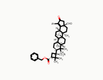 CC(C)C1=C2[C@H]3CC[C@@H]4[C@]5(C)CC[C@H]([C@@]6(C(=O)O)C[C@@H](C(=O)OCc7ccccc7)C6(C)C)C(C)(C)[C@H]5CC[C@@]4(C)[C@]3(C)CC[C@@]2(C=O)CC1=O